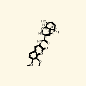 COc1ccc2cc(NC(=O)[C@@]34C[C@]5(O)[C@@H](C=C[C@@H](O)[C@@H]5ON3)S4)c(=O)oc2c1OC